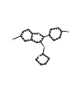 Clc1ccc(-c2nc3ccc(Cl)cc3cc2Oc2ccccc2)cc1